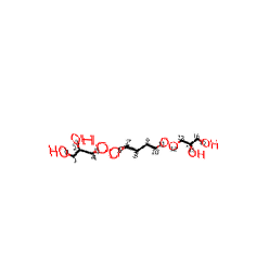 OCC(O)COOCCCCOOCC(O)CO